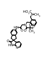 CN(Cc1ccccc1CN(CC(=O)Nc1ccc2c(c1)CC1(C2)C(=O)Nc2ncccc21)C(=O)C(C)(C)F)C(=O)O